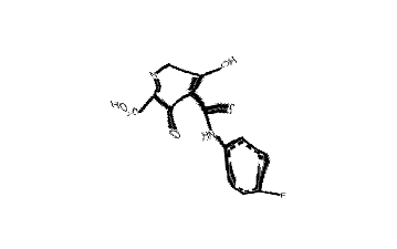 O=C(O)C1=NCC(O)=C(C(=S)Nc2ccc(F)cc2)C1=O